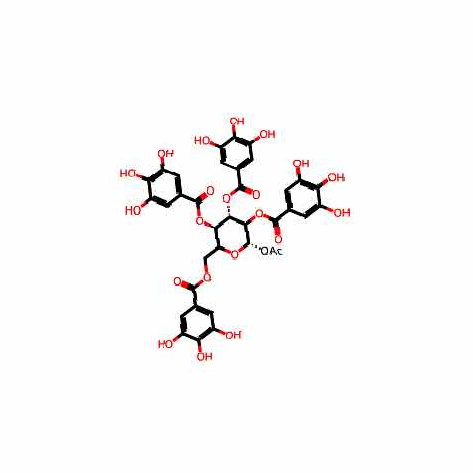 CC(=O)O[C@@H]1OC(COC(=O)c2cc(O)c(O)c(O)c2)[C@@H](OC(=O)c2cc(O)c(O)c(O)c2)[C@H](OC(=O)c2cc(O)c(O)c(O)c2)C1OC(=O)c1cc(O)c(O)c(O)c1